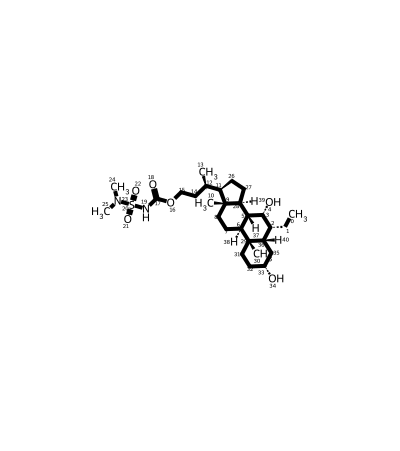 CC[C@H]1[C@@H](O)[C@@H]2[C@H](CC[C@]3(C)[C@@H]([C@H](C)CCOC(=O)NS(=O)(=O)N(C)C)CC[C@@H]23)[C@@]2(C)CC[C@@H](O)C[C@@H]12